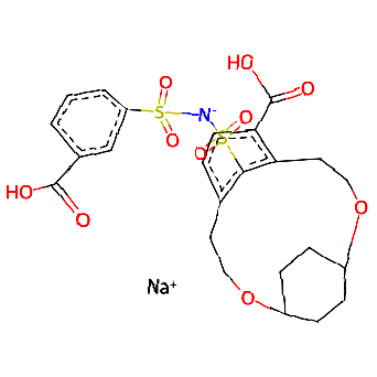 O=C(O)c1cccc(S(=O)(=O)[N-]S(=O)(=O)c2c3ccc(C(=O)O)c2CCOC2CCC(CC2)OCC3)c1.[Na+]